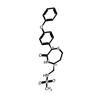 CS(=O)(=O)NC[C@@H]1CCS[C@H](c2ccc(Oc3ccccc3)cc2)C(=O)N1